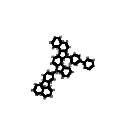 c1ccc(-c2ccc(-n3c4ccc5ccccc5c4c4ccc5c(c6ccccc6n5-c5ccc6c(c5)-c5cccc7cccc-6c57)c43)cc2)cc1